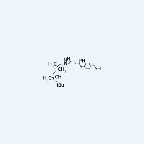 CC(C)(C)CCC(C)(C)CCCC(C)(C)CCn1cc(CCC(=P)Sc2ccc(CS)cc2)nn1